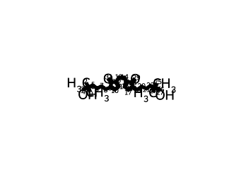 CC(C)(CO)CCCCC1=CC=C(/C=C\C2=CC=C(CCCCC(C)(C)CO)C2=O)C1=O